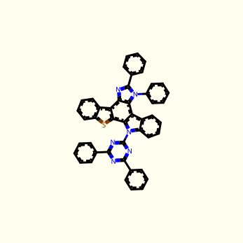 c1ccc(-c2nc(-c3ccccc3)nc(-n3c4ccccc4c4c5c(nc(-c6ccccc6)n5-c5ccccc5)c5c6ccccc6sc5c43)n2)cc1